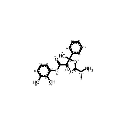 C[C@H](N)C(=O)OC(O)(C(=O)C(=O)Oc1cccc(O)c1O)c1ccccc1